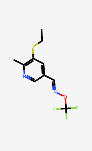 CCSc1cc(/C=N/OC(F)(F)F)cnc1C